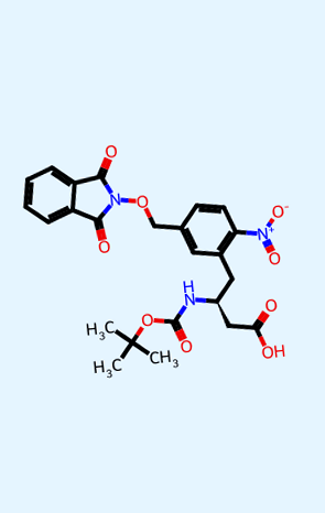 CC(C)(C)OC(=O)N[C@H](CC(=O)O)Cc1cc(CON2C(=O)c3ccccc3C2=O)ccc1[N+](=O)[O-]